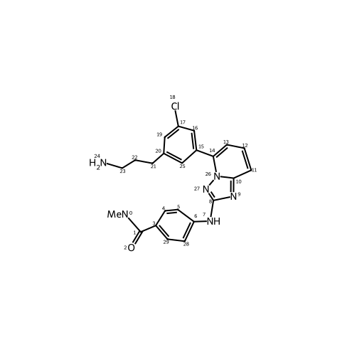 CNC(=O)c1ccc(Nc2nc3cccc(-c4cc(Cl)cc(CCCN)c4)n3n2)cc1